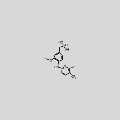 CCOc1cc(CP(=O)(O)O)ccc1Nc1ncc(C(F)(F)F)c(Cl)n1